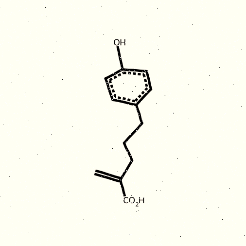 C=C(CCCc1ccc(O)cc1)C(=O)O